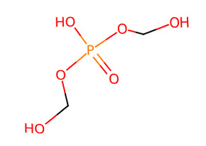 O=P(O)(OCO)OCO